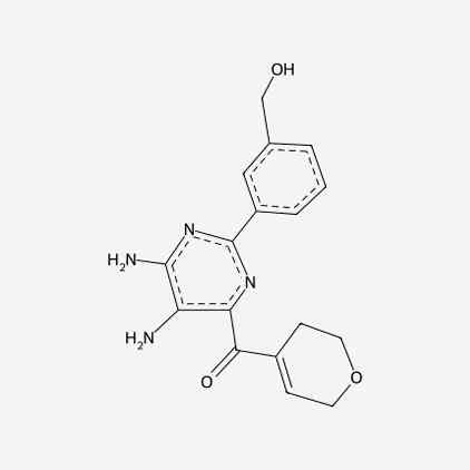 Nc1nc(-c2cccc(CO)c2)nc(C(=O)C2=CCOCC2)c1N